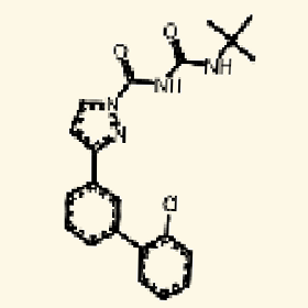 CC(C)(C)NC(=O)NC(=O)n1ccc(-c2cccc(-c3ccccc3Cl)c2)n1